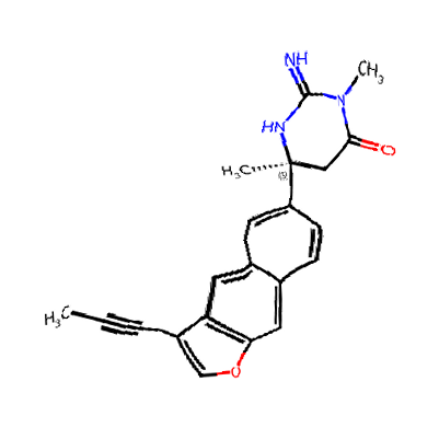 CC#Cc1coc2cc3ccc([C@]4(C)CC(=O)N(C)C(=N)N4)cc3cc12